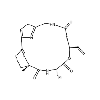 C=C[C@@H]1CC(=O)NCC2=NC(=CC2)C2=N[C@@](C)(CS2)C(=O)N[C@@H](C(C)C)C(=O)O1